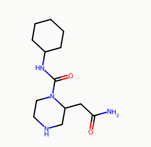 NC(=O)CC1CNCCN1C(=O)NC1CCCCC1